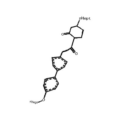 CCCCCCCOc1ccc(-c2ccc(CC(=O)C3CCC(CCCCCCC)CC3=O)cc2)cc1